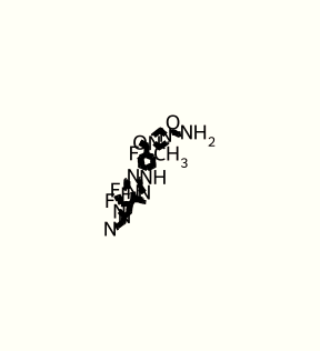 Cc1cc(Nc2nccn3c(-c4cn(CC#N)nc4C(F)(F)F)cnc23)cc(F)c1C(=O)N1CCN(C(=O)CN)CC1